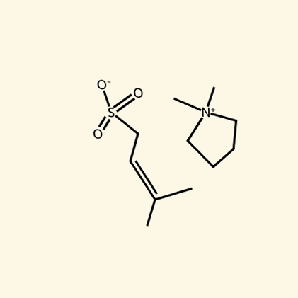 CC(C)=CCS(=O)(=O)[O-].C[N+]1(C)CCCC1